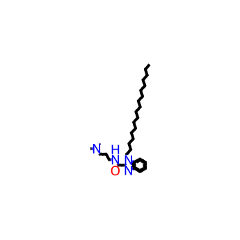 CCCCCCCCCCCCCCCCCCn1c(C(=O)NCCCN(C)C)nc2ccccc21